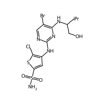 CC(C)C(CO)Nc1nc(Nc2cc(S(N)(=O)=O)sc2Cl)ncc1Br